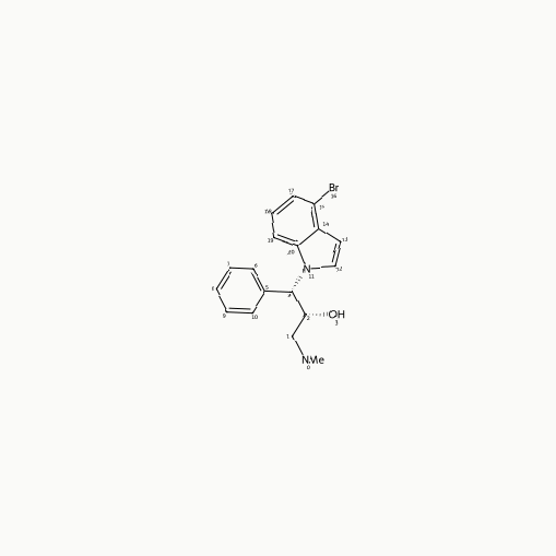 CNC[C@@H](O)[C@H](c1ccccc1)n1ccc2c(Br)cccc21